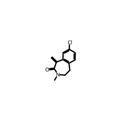 C=C1C(=O)N(C)CCc2ccc(Cl)cc21